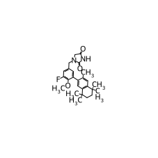 COc1c(F)cc(CN2CC(=O)NC2=O)cc1-c1cc2c(cc1C)C(C)(C)CCC2(C)C